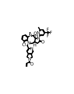 C=CC(=O)N1Cc2cnc(CN3C[C@H]4CC(=O)N(c5cc(C(F)(F)F)cc(C)n5)[C@@H]4C(=O)N(C)c4cccc(Cl)c43)cc2C1